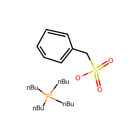 CCCC[P+](CCCC)(CCCC)CCCC.O=S(=O)([O-])Cc1ccccc1